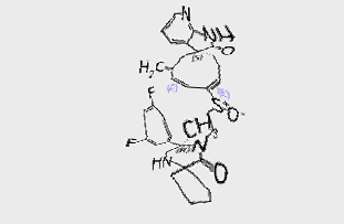 C=C1/C=C\C([S+]([O-])CCN2C(=O)C3(CCCC3)NC[C@@]2(C)c2cc(F)cc(F)c2)=C/CC[C@@]2(C1)C(=O)Nc1ncccc12